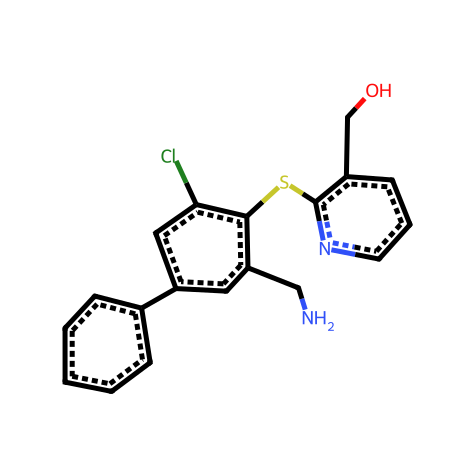 NCc1cc(-c2ccccc2)cc(Cl)c1Sc1ncccc1CO